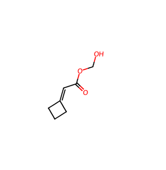 O=C(C=C1CCC1)OCO